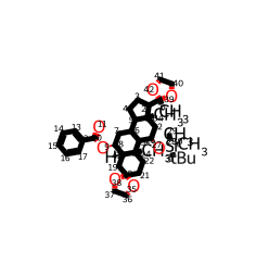 CC1(C2CCC3C4C[C@@H](OC(=O)c5ccccc5)[C@@H]5CC6(CCC5(C)C4[C@H](O[Si](C)(C)C(C)(C)C)CC32C)OCCO6)OCCO1